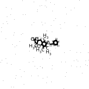 Cc1c(C)c2c(c(C)c1OCc1ccccc1)CCC(C)(CC(=O)Cl)O2